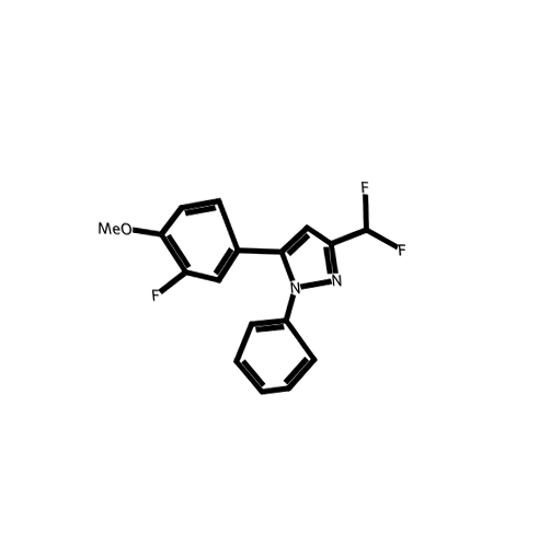 COc1ccc(-c2cc(C(F)F)nn2-c2ccccc2)cc1F